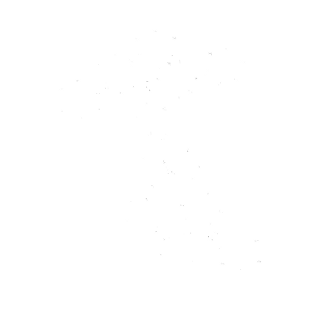 c1ccc(-c2cccc(-c3cccc4c3c3cc(-c5ccc(-c6ccc7c(c6)c6cc(-c8ccccc8)ccc6n7-c6cc(-c7ccccc7)ccc6-c6ccccc6)cc5)ccc3n4-c3ccccc3)c2)cc1